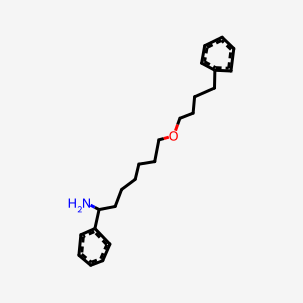 NC(CCCCCCOCCCCc1ccccc1)c1ccccc1